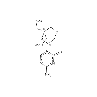 COC[C@]12COC(C1OC)[C@H](n1ccc(N)nc1=O)O2